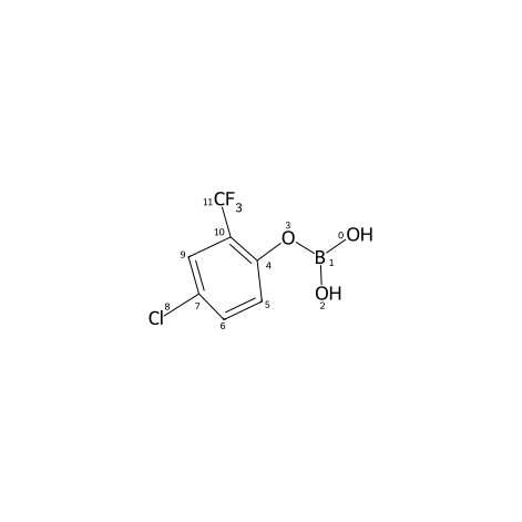 OB(O)Oc1ccc(Cl)cc1C(F)(F)F